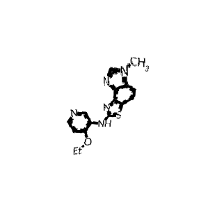 CCOc1ccncc1Nc1nc2c(ccc3c2ncn3C)s1